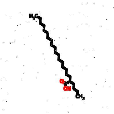 CCCCCCCCCCCCCCCCCCC(CCCC)C(=O)O